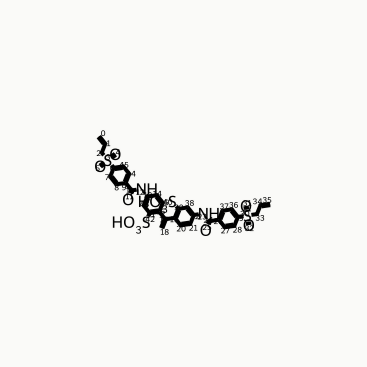 C=CCS(=O)(=O)c1ccc(C(=O)Nc2ccc(C(=C)c3ccc(NC(=O)c4ccc(S(=O)(=O)CC=C)cc4)cc3S(=O)(=O)O)c(S(=O)(=O)O)c2)cc1